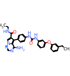 CCNC(=O)c1cn2ncnc(N)c2c1-c1ccc(NC(=O)Nc2cccc(Oc3cccc(CC)c3)c2)cc1